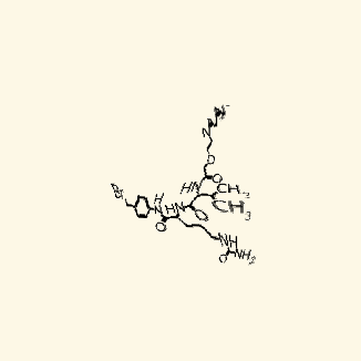 CC(C)[C@H](NC(=O)COCCN=[N+]=[N-])C(=O)N[C@@H](CCCNC(N)=O)C(=O)Nc1ccc(CBr)cc1